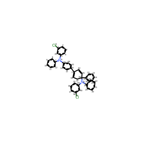 Clc1cccc(N(c2ccccc2)c2ccc(C3=CCC(c4ccccc4)(N(c4ccccc4)c4cccc(Cl)c4)C=C3)cc2)c1